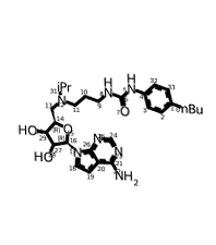 CCCCc1ccc(NC(=O)NCCCN(C[C@H]2O[C@@H](n3ccc4c(N)ncnc43)C(O)C2O)C(C)C)cc1